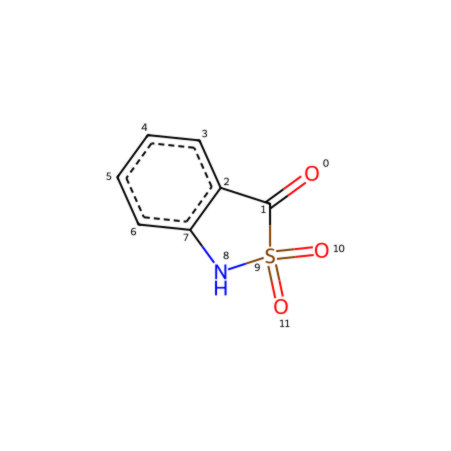 O=C1c2ccccc2NS1(=O)=O